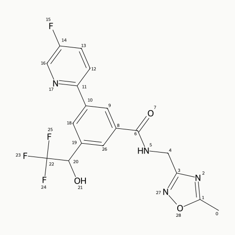 Cc1nc(CNC(=O)c2cc(-c3ccc(F)cn3)cc(C(O)C(F)(F)F)c2)no1